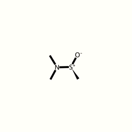 CN(C)[S@+](C)[O-]